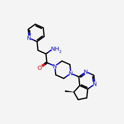 C[C@@H]1CCc2ncnc(N3CCN(C(=O)C(N)Cc4ccccn4)CC3)c21